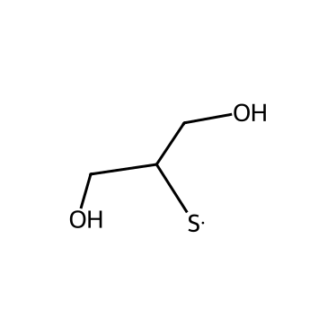 OCC([S])CO